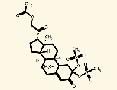 CC(=O)OCC(=O)[C@H]1CC[C@H]2[C@@H]3CCC4=CC(=O)C(OS(C)(=O)=O)(OS(C)(=O)=O)C[C@]4(C)[C@H]3CC[C@]12C